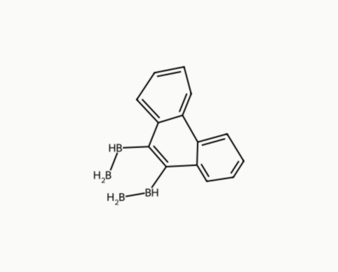 BBc1c(BB)c2ccccc2c2ccccc12